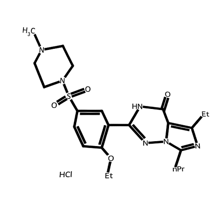 CCCc1nc(CC)c2c(=O)[nH]c(-c3cc(S(=O)(=O)N4CCN(C)CC4)ccc3OCC)nn12.Cl